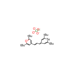 CC(C)(C)C1=CC(=C/C=C/c2cc(C(C)(C)C)[o+]c(C(C)(C)C)c2)C=C(C(C)(C)C)[Te]1.[O-][Cl+3]([O-])([O-])[O-]